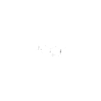 CC(=O)C[C@@H](O)C[N+](C)(C)C